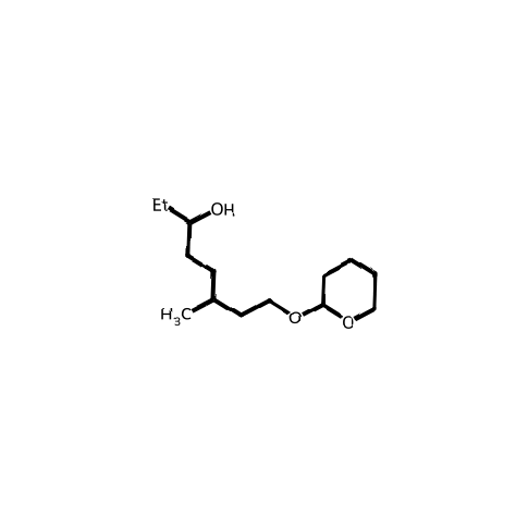 CCC(O)CCC(C)CCOC1CCCCO1